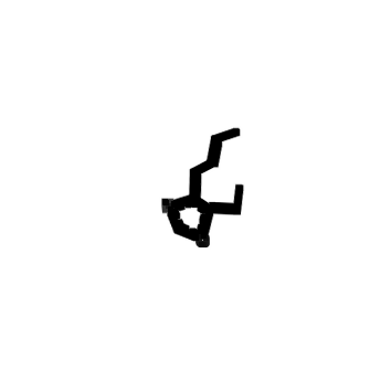 C/C=C/C=c1/nco/c1=C/C